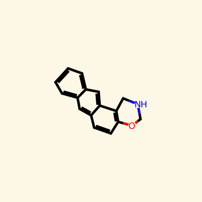 c1ccc2cc3c4c(ccc3cc2c1)OCNC4